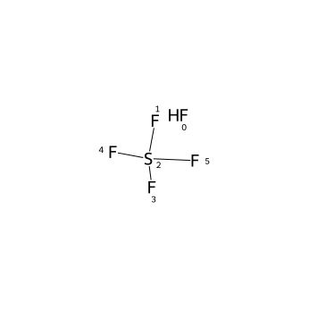 F.FS(F)(F)F